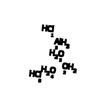 Cl.Cl.O.O.O.[AlH3]